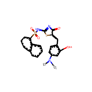 CCN(CC)c1ccc(C=C2SC(NS(=O)(=O)c3cccc4ccccc34)=NC2=O)c(O)c1